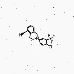 N#Cc1cccc2c1CCN(c1ccc(Cl)c(C(F)(F)F)c1)C2